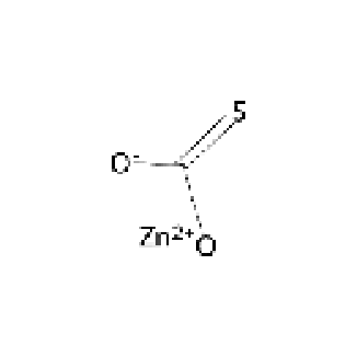 [O-]C([O-])=S.[Zn+2]